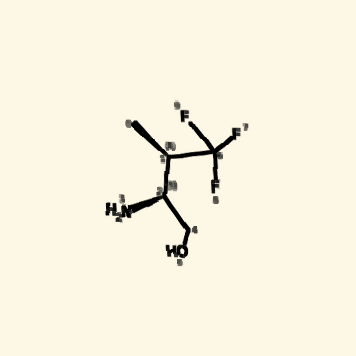 C[C@H]([C@H](N)CO)C(F)(F)F